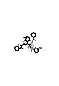 Cc1c(-c2cc(C(=O)NS(=O)(=O)c3cccc(N)n3)c3c(O[C@H](C)c4ccccc4)ccc(C)c3n2)oc2ccccc12